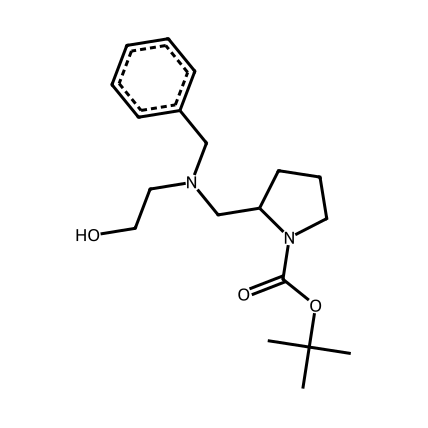 CC(C)(C)OC(=O)N1CCCC1CN(CCO)Cc1ccccc1